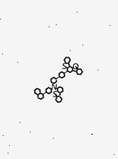 c1cc(-c2ccc(-c3cc4c5ccccc5oc4c4c3sc3ccccc34)cc2)cc(N(c2ccc(-c3cccc4ccccc34)cc2)c2cccc3c2sc2ccccc23)c1